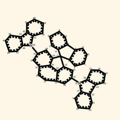 c1ccc2c(c1)-c1ccccc1C21c2cc(-n3c4ccccc4c4ccccc43)cc3ccc4cc(-n5c6ccccc6c6ccccc65)cc1c4c23